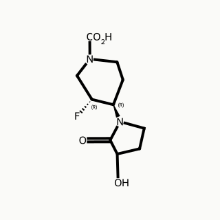 O=C(O)N1CC[C@@H](N2CCC(O)C2=O)[C@H](F)C1